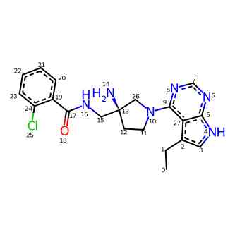 CCc1c[nH]c2ncnc(N3CC[C@](N)(CNC(=O)c4ccccc4Cl)C3)c12